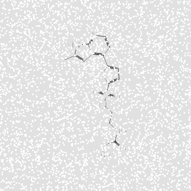 Cc1cc2c(-c3ccc(S(=O)(=O)NCCNC(=O)OC(C)(C)C)s3)ccnc2[nH]1